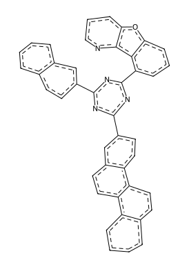 c1ccc2cc(-c3nc(-c4ccc5c(ccc6c7ccccc7ccc56)c4)nc(-c4cccc5oc6cccnc6c45)n3)ccc2c1